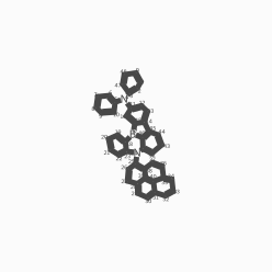 c1ccc(N(c2ccccc2)c2ccc3c(c2)B2c4ccccc4N(c4ccc5ccc6cccc7ccc4c5c67)c4cccc-3c42)cc1